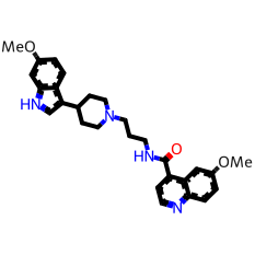 COc1ccc2c(C3CCN(CCCNC(=O)c4ccnc5ccc(OC)cc45)CC3)c[nH]c2c1